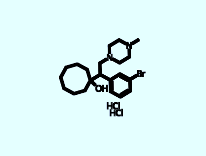 CN1CCN(CC(c2cccc(Br)c2)C2(O)CCCCCCC2)CC1.Cl.Cl